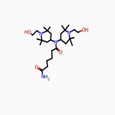 CC1(C)CC(N(C(=O)CCCCC(N)=O)C2CC(C)(C)N(CCO)C(C)(C)C2)CC(C)(C)N1CCO